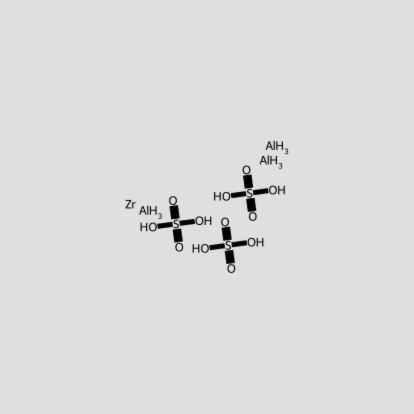 O=S(=O)(O)O.O=S(=O)(O)O.O=S(=O)(O)O.[AlH3].[AlH3].[AlH3].[Zr]